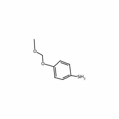 COCOc1ccc([SiH3])cc1